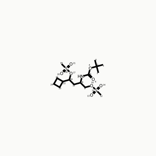 CC(C)(C)OC(=O)NC(COS(C)(=O)=O)CC(OS(C)(=O)=O)C1CCC1